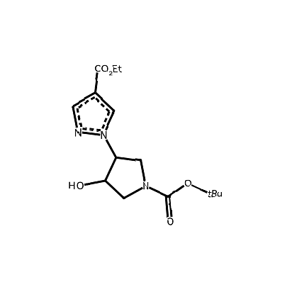 CCOC(=O)c1cnn(C2CN(C(=O)OC(C)(C)C)CC2O)c1